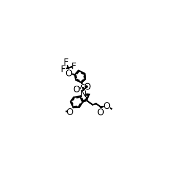 COC(=O)CCc1cn(S(=O)(=O)c2cccc(OC(F)(F)F)c2)c2ccc(OC)cc12